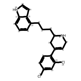 Clc1ccc(C2=CCNC(CCCc3cccc4[nH]ccc34)C2)c(Cl)c1